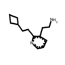 NCCc1cccnc1CCC1CCC1